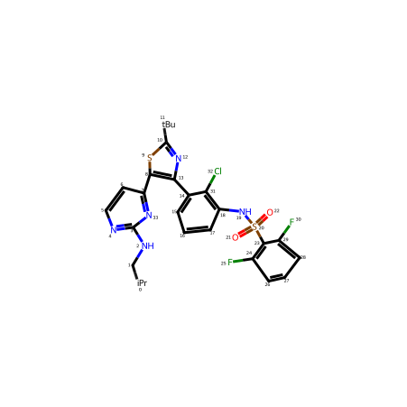 CC(C)CNc1nccc(-c2sc(C(C)(C)C)nc2-c2cccc(NS(=O)(=O)c3c(F)cccc3F)c2Cl)n1